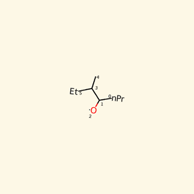 CCCC([O])C(C)CC